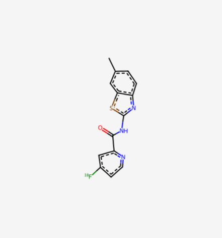 Cc1ccc2nc(NC(=O)c3cc([18F])ccn3)sc2c1